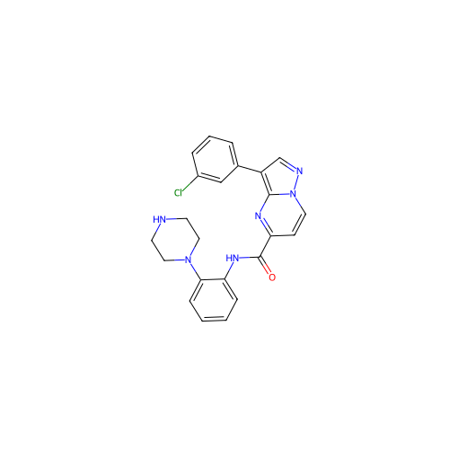 O=C(Nc1ccccc1N1CCNCC1)c1ccn2ncc(-c3cccc(Cl)c3)c2n1